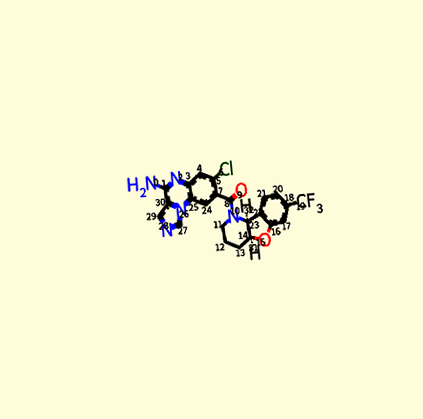 Nc1nc2cc(Cl)c(C(=O)N3CCC[C@@H]4Oc5cc(C(F)(F)F)ccc5[C@@H]43)cc2n2cncc12